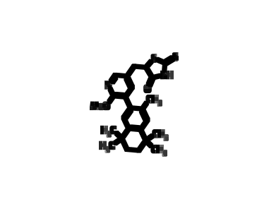 COc1ncc(CC2SC(=S)NC2=O)cc1-c1cc2c(cc1C)C(C)(C)CCC2(C)C